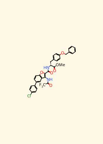 COC(=O)[C@H](Cc1ccc(OCc2ccccc2)cc1)NC(=O)c1oc2ccc(-c3ccc(Cl)cc3)cc2c1NC(=O)C(F)(F)F